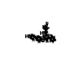 Cc1ccccc1-c1nc(NSc2cnn(C)c2)nc(Oc2ccc(N3CCNCC3)cc2)c1C